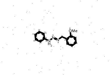 COc1ccccc1CN=N[SiH2]c1ccccc1